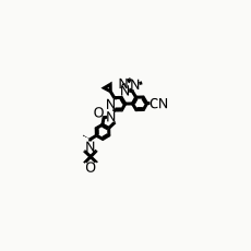 C[C@H](c1ccc2c(c1)C(=O)N(c1cc(-c3ccc(C#N)cc3-c3nncn3C)cc(C3CC3)n1)C2)N1CC2(COC2)C1